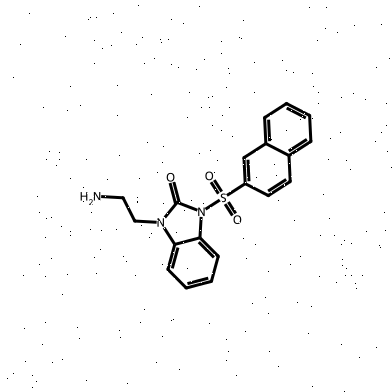 NCCn1c(=O)n(S(=O)(=O)c2ccc3ccccc3c2)c2ccccc21